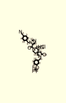 Cl.Cl.N#Cc1ccc(Cn2cncc2C(=O)N2CCC3(CC2)CC(=O)N(Cc2cccc(OC(F)(F)F)c2)C3)cc1